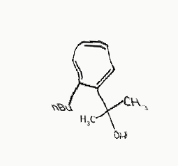 CCCCc1ccccc1C(C)(C)O